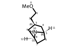 COCC[C@H]1C[C@H]2CC[C@@H](C1)N2